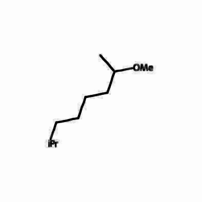 COC(C)CCCCC(C)C